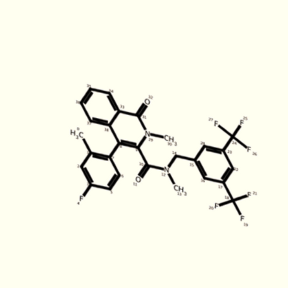 Cc1cc(F)ccc1-c1c(C(=O)N(C)Cc2cc(C(F)(F)F)cc(C(F)(F)F)c2)n(C)c(=O)c2ccccc12